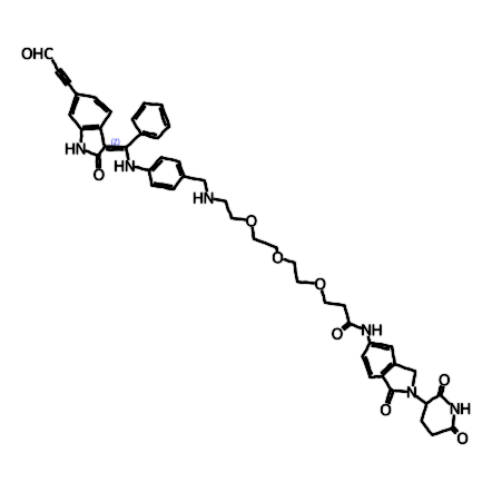 O=CC#Cc1ccc2c(c1)NC(=O)/C2=C(\Nc1ccc(CNCCOCCOCCOCCC(=O)Nc2ccc3c(c2)CN(C2CCC(=O)NC2=O)C3=O)cc1)c1ccccc1